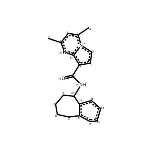 Cc1cc(C)n2ccc(C(=O)NC3CCCCc4ccccc43)c2n1